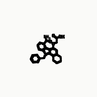 NC(=O)c1cccc2c1c1c(OCC(=O)O)cc3c(c1n2Cc1ccccc1)CCCC3